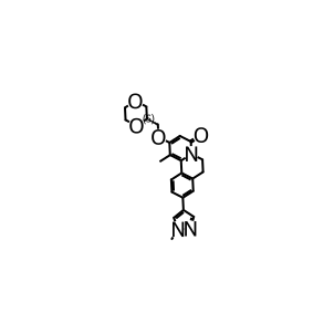 Cc1c(OC[C@@H]2COCCO2)cc(=O)n2c1-c1ccc(-c3cnn(C)c3)cc1CC2